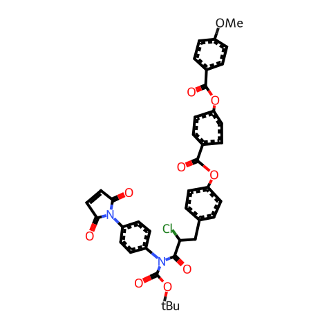 COc1ccc(C(=O)Oc2ccc(C(=O)Oc3ccc(CC(Cl)C(=O)N(C(=O)OC(C)(C)C)c4ccc(N5C(=O)C=CC5=O)cc4)cc3)cc2)cc1